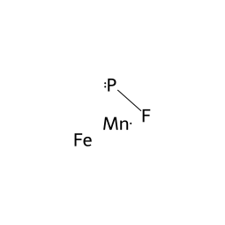 F[P].[Fe].[Mn]